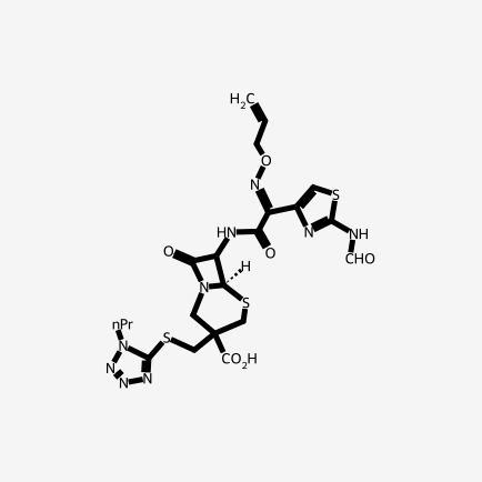 C=CCON=C(C(=O)NC1C(=O)N2CC(CSc3nnnn3CCC)(C(=O)O)CS[C@H]12)c1csc(NC=O)n1